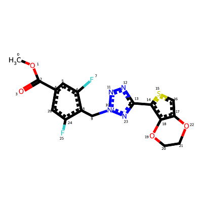 COC(=O)c1cc(F)c(Cn2nnc(-c3scc4c3OCCO4)n2)c(F)c1